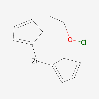 C1=CC[C]([Zr][C]2=CC=CC2)=C1.CCOCl